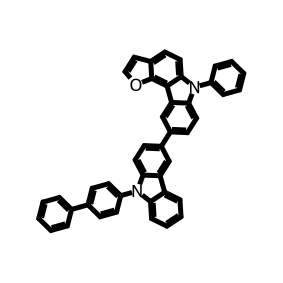 c1ccc(-c2ccc(-n3c4ccccc4c4cc(-c5ccc6c(c5)c5c7occc7ccc5n6-c5ccccc5)ccc43)cc2)cc1